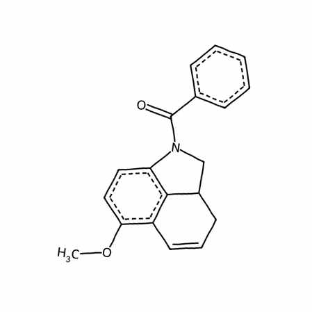 COc1ccc2c3c1C=CCC3CN2C(=O)c1ccccc1